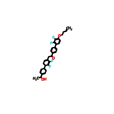 C=CCCOc1ccc(-c2ccc(C(=O)CC3=CCC(C4C=CC(C(C)O)=CC4)C(F)=C3F)cc2)c(F)c1F